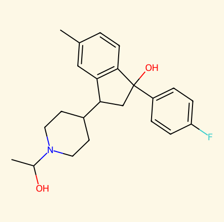 Cc1ccc2c(c1)C(C1CCN(C(C)O)CC1)CC2(O)c1ccc(F)cc1